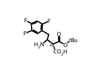 CC(C)(C)OC(=O)[C@@H](C(=O)O)C(N)Cc1cc(F)c(F)cc1F